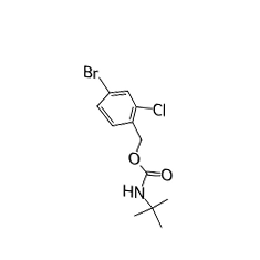 CC(C)(C)NC(=O)OCc1ccc(Br)cc1Cl